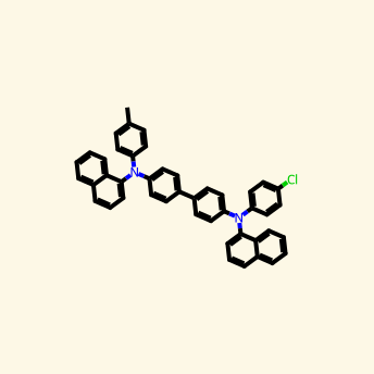 Cc1ccc(N(c2ccc(-c3ccc(N(c4ccc(Cl)cc4)c4cccc5ccccc45)cc3)cc2)c2cccc3ccccc23)cc1